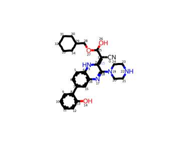 N#C/C(=C1/Nc2ccc(-c3ccccc3O)cc2N=C1N1CCNCC1)C(O)OCC1CCCCC1